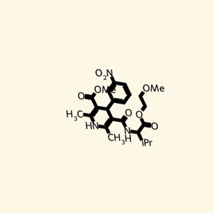 COCCOC(=O)C(NC(=O)C1=C(C)NC(C)=C(C(=O)OC)C1c1cccc([N+](=O)[O-])c1)C(C)C